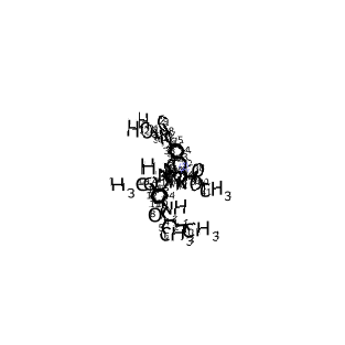 CCCCC(CC)C(=O)Nc1ccc(OC)c(-c2nnc3/c(=C\c4ccc(N(CC)CCO)cc4C)c(C(=O)OCC)nn23)c1